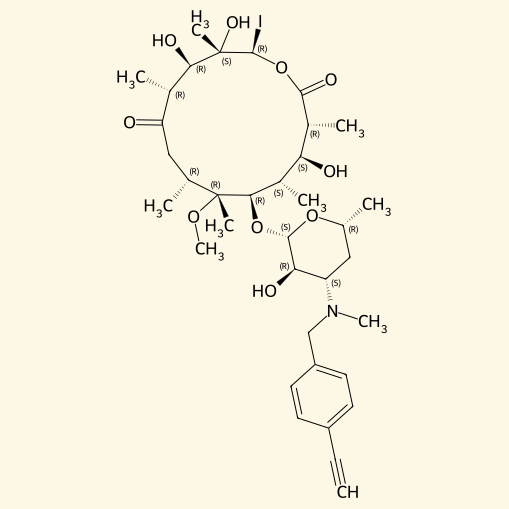 C#Cc1ccc(CN(C)[C@H]2C[C@@H](C)O[C@@H](O[C@@H]3[C@@H](C)[C@H](O)[C@@H](C)C(=O)O[C@H](I)[C@@](C)(O)[C@H](O)[C@@H](C)C(=O)C[C@@H](C)[C@@]3(C)OC)[C@@H]2O)cc1